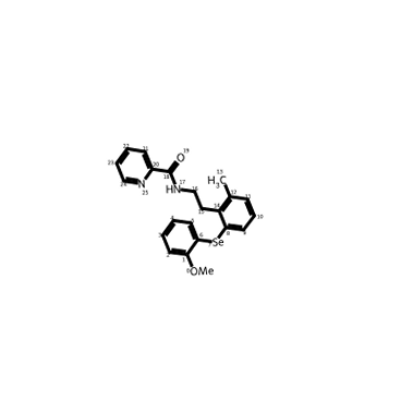 COc1ccccc1[Se]c1cccc(C)c1CCNC(=O)c1ccccn1